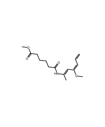 C=C/C=C(\C=C(/C)NC(=O)CCCCC(=O)OC)OC